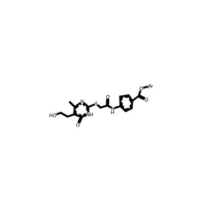 Cc1nc(SCC(=O)Nc2ccc(C(=O)OC(C)C)cc2)[nH]c(=O)c1CCO